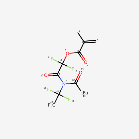 C=C(C)C(=O)OC(F)(F)C(=O)N(C(=O)C(C)(C)C)C(F)(F)C(F)(F)F